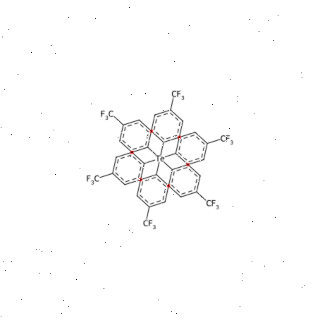 FC(F)(F)c1ccc([Te](c2ccc(C(F)(F)F)cc2)(c2ccc(C(F)(F)F)cc2)(c2ccc(C(F)(F)F)cc2)(c2ccc(C(F)(F)F)cc2)c2ccc(C(F)(F)F)cc2)cc1